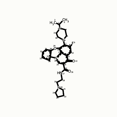 CC(C)N1CCN(c2c(F)cc3c(=O)c(C(=O)NCCN4CCCC4)cn4c3c2Oc2ccccc2-4)CC1